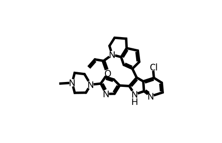 C=CC(=O)N1CCCc2ccc(-c3c(-c4ccc(N5CCN(C)CC5)nc4)[nH]c4nccc(Cl)c34)cc21